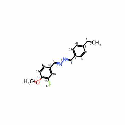 CCc1ccc(C=NN=Cc2ccc(OC)c(F)c2)cc1